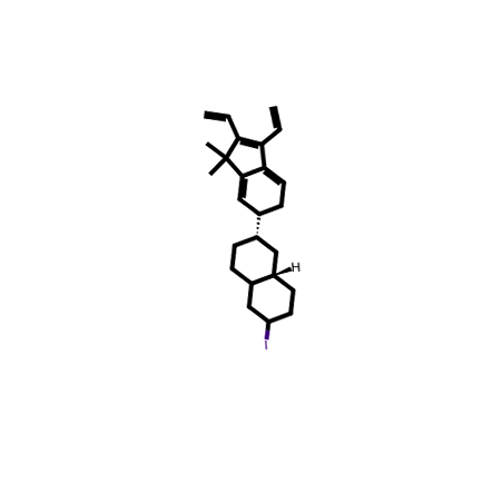 C=CC1=C(C=C)C(C)(C)C2=CC([C@H]3CCC4CC(I)CC[C@H]4C3)CC=C21